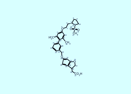 Cc1cc(OCC[C@H]2CCCN2S(C)(=O)=O)cc(C)c1-c1cccc(COc2ccc3c(c2)OCC3CC(=O)O)c1